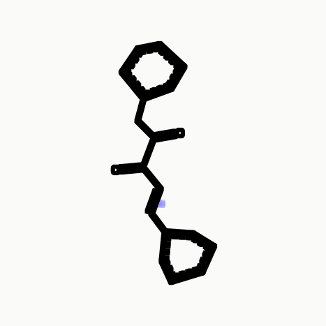 O=C(/C=C/c1ccccc1)C(=O)Cc1ccccc1